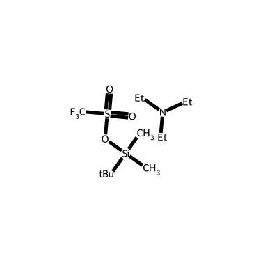 CC(C)(C)[Si](C)(C)OS(=O)(=O)C(F)(F)F.CCN(CC)CC